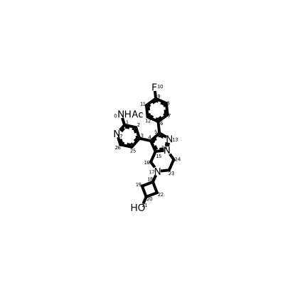 CC(=O)Nc1cc(-c2c(-c3ccc(F)cc3)nn3c2CN(C2CC(O)C2)CC3)ccn1